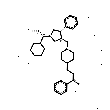 C[C@H](CCC1CCN(C[C@H]2CN([C@@H](C(=O)O)C3CCCCC3)C[C@@H]2c2ccccc2)CC1)c1ccccc1